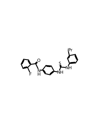 CC(C)c1cccc(NC(=S)Nc2ccc(NC(=O)c3ccccc3F)cc2)c1